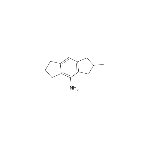 CC1Cc2cc3c(c(N)c2C1)CCC3